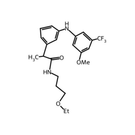 CCOCCCNC(=O)C(C)c1cccc(Nc2cc(OC)cc(C(F)(F)F)c2)c1